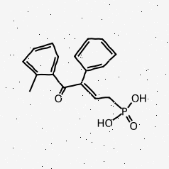 Cc1ccccc1C(=O)C(=CCP(=O)(O)O)c1ccccc1